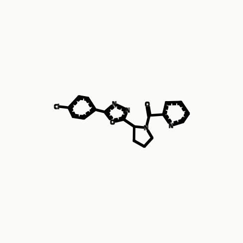 O=C(c1ccccn1)N1CCCC1c1nnc(-c2ccc(Cl)cc2)o1